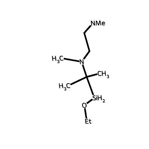 CCO[SiH2]C(C)(C)N(C)CCNC